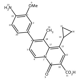 COc1cc(-c2ccn3c(=O)c(C(=O)O)cc(C4CC4)c3c2C)ccc1N